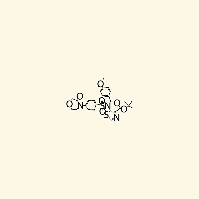 COc1ccc(CN(c2scnc2C(=O)OC(C)(C)C)S(=O)(=O)c2ccc(N3CCOCC3=O)cc2)cc1